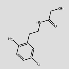 O=C(CO)NCCc1cc(Cl)ccc1O